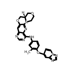 Cc1cc(Nc2ncnc3cc4c(nc23)N2CCOC[C@H]2CO4)ccc1Oc1ccn2ncnc2c1